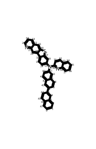 c1ccc2cc(-c3ccc4cc(N(c5ccc6c(c5)sc5cc7cccnc7cc56)c5ccc6ccccc6n5)ccc4c3)ccc2c1